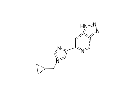 c1nc(-c2cn(CC3CC3)cn2)cc2[nH]nnc12